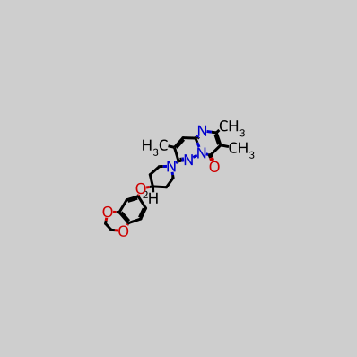 [2H]C1(Oc2ccc3c(c2)OCCO3)CCN(c2nn3c(=O)c(C)c(C)nc3cc2C)CC1